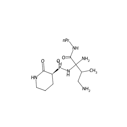 CCCNC(=O)C(N)(N[PH](=O)[C@H]1CCCNC1=O)C(C)CN